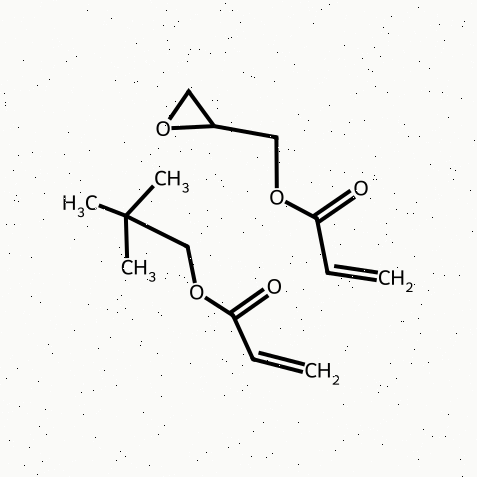 C=CC(=O)OCC(C)(C)C.C=CC(=O)OCC1CO1